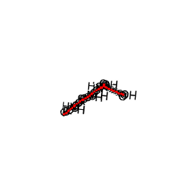 CC(=O)COCCOCCNC(=O)COCCOCCNC(=O)COCCOCCNC(=O)COCCOCCNC(=O)CC[C@H](NC(=O)CCCCCCCCCCCCCCC(=O)O)C(=O)O